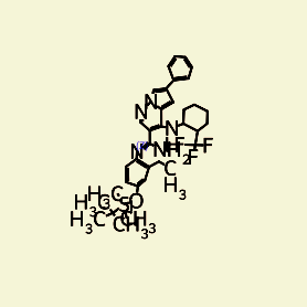 CCc1cc(O[Si](C)(C)C(C)(C)C)ccc1/N=C(\N)c1cnn2cc(-c3ccccc3)cc2c1NC1CCCCC1C(F)(F)F